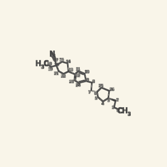 CCC[C@H]1CC[C@H](CCc2ccc(C3CCC(C#N)(CC)CC3)cc2)CC1